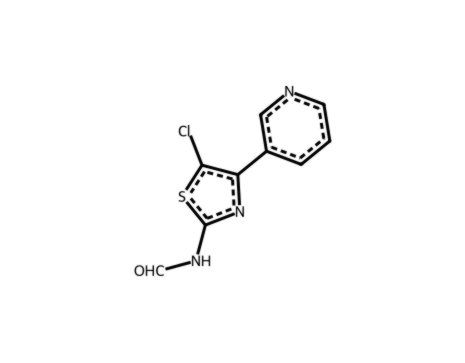 O=CNc1nc(-c2cccnc2)c(Cl)s1